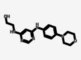 OCCNc1cc(Nc2ccc(N3CCOCC3)cc2)ncn1